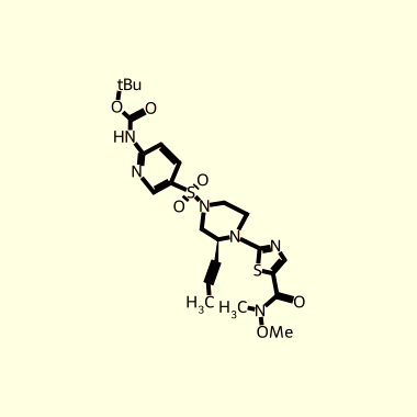 CC#C[C@H]1CN(S(=O)(=O)c2ccc(NC(=O)OC(C)(C)C)nc2)CCN1c1ncc(C(=O)N(C)OC)s1